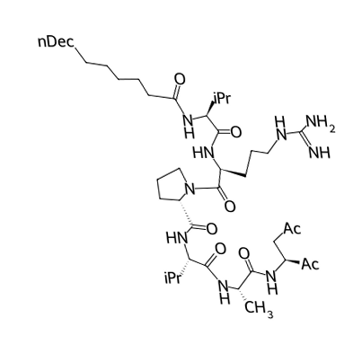 CCCCCCCCCCCCCCCC(=O)N[C@H](C(=O)N[C@@H](CCCNC(=N)N)C(=O)N1CCC[C@H]1C(=O)N[C@H](C(=O)N[C@@H](C)C(=O)N[C@@H](CC(C)=O)C(C)=O)C(C)C)C(C)C